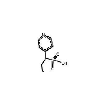 [CH2]CC(c1ccncc1)S(=O)(=O)O